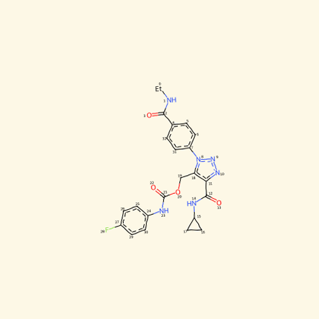 CCNC(=O)c1ccc(-n2nnc(C(=O)NC3CC3)c2COC(=O)Nc2ccc(F)cc2)cc1